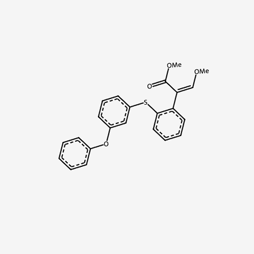 COC=C(C(=O)OC)c1ccccc1Sc1cccc(Oc2ccccc2)c1